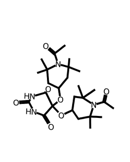 CC(=O)N1C(C)(C)CC(OC2(OC3CC(C)(C)N(C(C)=O)C(C)(C)C3)C(=O)NC(=O)NC2=O)CC1(C)C